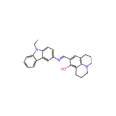 CCn1c2ccccc2c2cc(/N=C/c3cc4c5c(c3O)CCCN5CCC4)ccc21